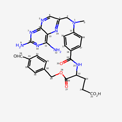 CN(Cc1cnc2nc(N)nc(N)c2n1)c1ccc(C(=O)NC(CCC(=O)O)C(=O)OCc2ccc(C=O)cc2)cc1